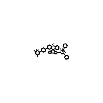 Cc1cc(C)nc(-c2ccc(-c3ccc4c(c3)C3(c5ccccc5S4)c4ccccc4-c4ccc(-c5cc(-c6ccccc6)nc(-c6ccccc6)n5)cc43)cc2)c1